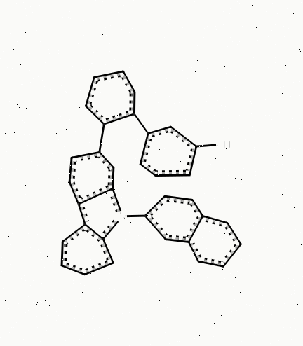 Cc1cccc(-c2ccccc2-c2ccc3c4ccccc4n(-c4ccc5ccccc5c4)c3c2)c1